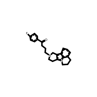 O=C(CCCN1CCc2c(c3cccc4c3n2CCC4)C1)c1ccc(F)cc1